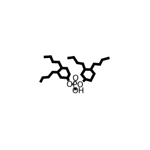 CCCCC1CCC(OP(=O)(O)OC2CCC(CCCC)C(CCCC)C2)CC1CCCC